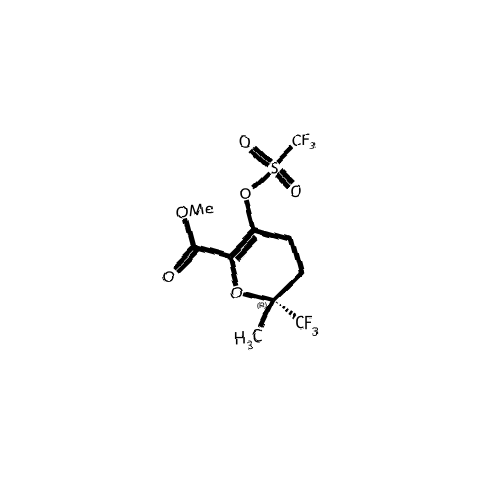 COC(=O)C1=C(OS(=O)(=O)C(F)(F)F)CC[C@](C)(C(F)(F)F)O1